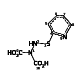 O=C(O)N(NSc1ccccn1)C(=O)O